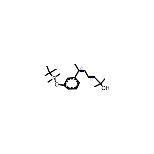 C/C(=C/C=C/C(C)(C)O)c1cccc(O[Si](C)(C)C(C)(C)C)c1